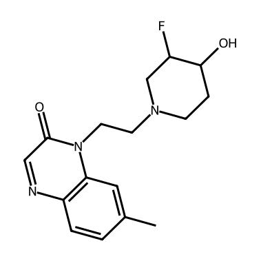 Cc1ccc2ncc(=O)n(CCN3CCC(O)C(F)C3)c2c1